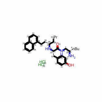 CCCC[C@H](N)CNC(=O)[C@H](Cc1ccc(O)cc1)N[C@H](CCc1cccc2ccccc12)CC(C)C.Cl.Cl